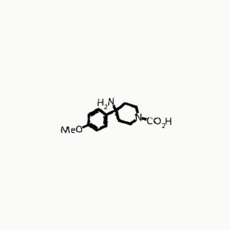 COc1ccc(C2(N)CCN(C(=O)O)CC2)cc1